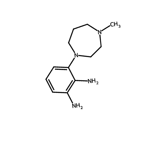 CN1CCCN(c2cccc(N)c2N)CC1